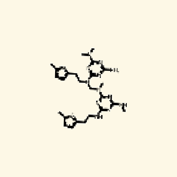 CNc1nc(NCCc2ccc(C)s2)nc(N(C)CN(CCc2ccc(C)s2)c2nc(N)nc(N(C)C)n2)n1